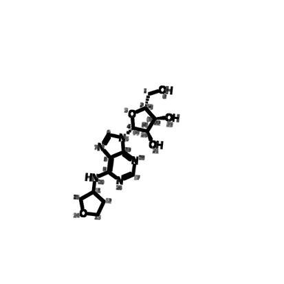 OC[C@H]1O[C@@H](n2cnc3c(NC4CCOC4)ncnc32)[C@H](O)[C@@H]1O